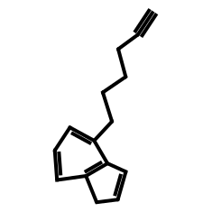 C#CCCCCc1cccc2c1C=CC2